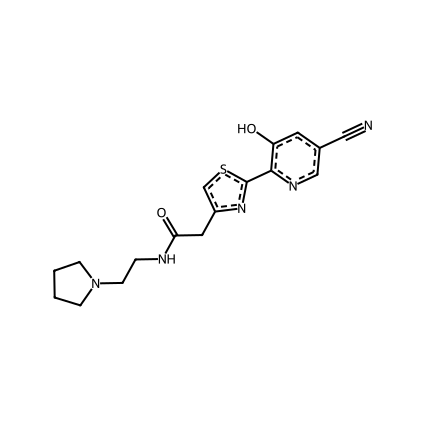 N#Cc1cnc(-c2nc(CC(=O)NCCN3CCCC3)cs2)c(O)c1